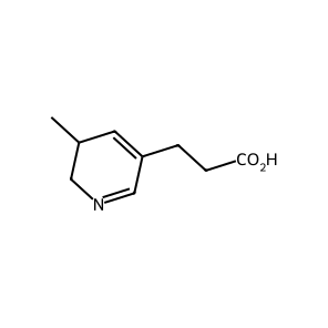 CC1C=C(CCC(=O)O)C=NC1